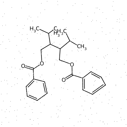 CC(C)C(COC(=O)c1ccccc1)C(COC(=O)c1ccccc1)C(C)C